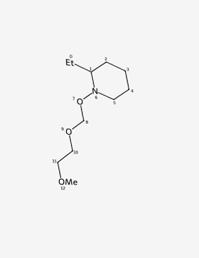 CCC1CCCCN1OCOCCOC